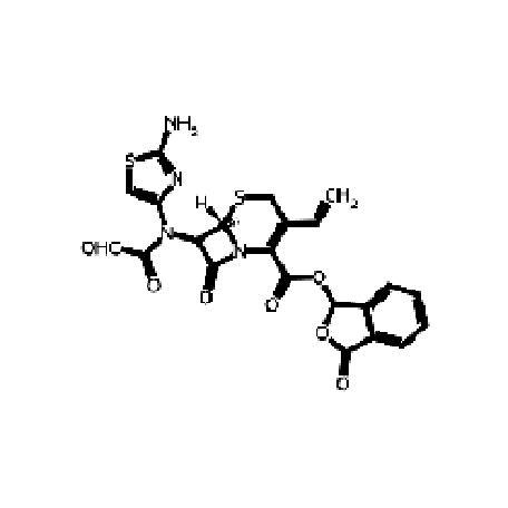 C=CC1=C(C(=O)OC2OC(=O)c3ccccc32)N2C(=O)C(N(C(=O)C=O)c3csc(N)n3)[C@@H]2SC1